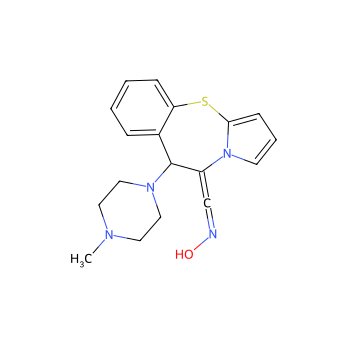 CN1CCN(C2C(=C=NO)n3cccc3Sc3ccccc32)CC1